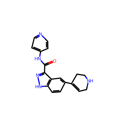 O=C(Nc1ccncc1)c1n[nH]c2ccc(C3=CCNCC3)cc12